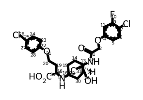 O=C(COc1ccc(Cl)c(F)c1)NC12CCC(N[C@H](CCOc3ccc(Cl)cc3)C(=O)O)(CC1)C[C@@H]2O